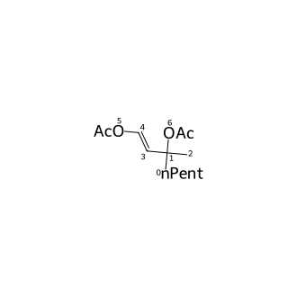 CCCCCC(C)(/C=C/OC(C)=O)OC(C)=O